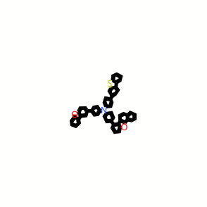 c1ccc2c(c1)ccc1c2oc2cccc(-c3ccc(N(c4ccc(-c5ccc6c(c5)sc5ccccc56)cc4)c4ccc(-c5ccc6oc7ccccc7c6c5)cc4)cc3)c21